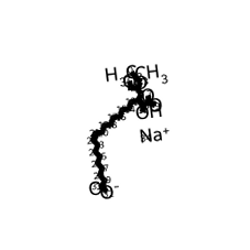 CC1(C)OCC(C2OC(=O)C(O)=C2CCCCCCCC/C=C\CCCCCCCC(=O)[O-])O1.[Na+]